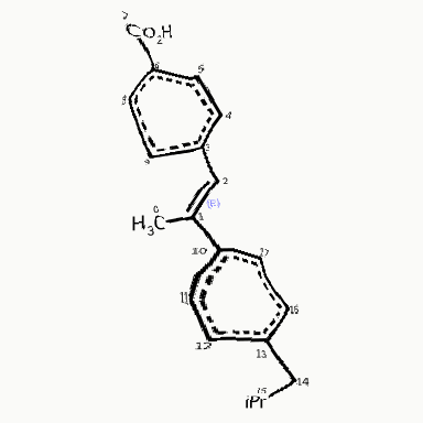 C/C(=C\c1ccc(C(=O)O)cc1)c1ccc(CC(C)C)cc1